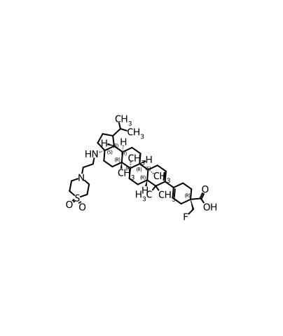 CC(C)C1CC[C@]2(NCCN3CCS(=O)(=O)CC3)CC[C@]3(C)[C@H](CC[C@@H]4[C@@]5(C)CC=C(C6=CC[C@@](CF)(C(=O)O)CC6)C(C)(C)[C@@H]5CC[C@]43C)[C@@H]12